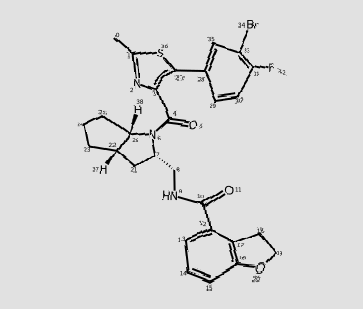 Cc1nc(C(=O)N2[C@H](CNC(=O)c3cccc4c3CCO4)C[C@@H]3CCC[C@@H]32)c(-c2ccc(F)c(Br)c2)s1